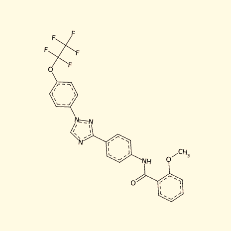 COc1ccccc1C(=O)Nc1ccc(-c2ncn(-c3ccc(OC(F)(F)C(F)(F)F)cc3)n2)cc1